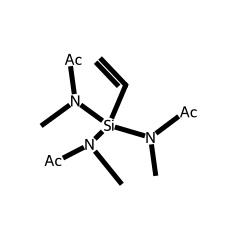 C=C[Si](N(C)C(C)=O)(N(C)C(C)=O)N(C)C(C)=O